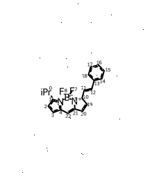 CC(C)c1ccc2n1[B-](F)(F)[N+]1=C(/C=C/c3ccccc3)C=CC1=C2